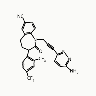 N#Cc1ccc2c(c1)CCC(c1ccc(C(F)(F)F)cc1C(F)(F)F)C(=O)N2CC#Cc1ccc(N)nn1